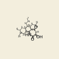 CCCc1c(CCC)c(CCC)c2c(=O)cc(O)c(=O)[nH]c2c1CCC